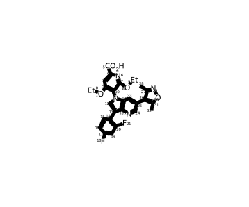 CCOc1cc(C(=O)O)nc(OCC)c1-n1cc(-c2ccc(F)cc2F)c2ncc(-c3c(C)noc3C)cc21